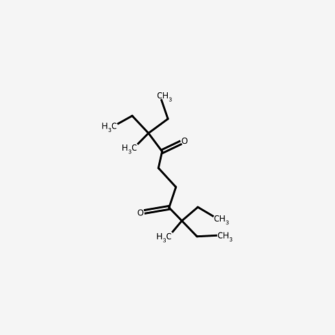 CCC(C)(CC)C(=O)CCC(=O)C(C)(CC)CC